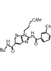 CCC(C)NC(=O)c1cnc2c(c1)nc(NC(=O)c1cccc(C#N)c1)n2CCCOC